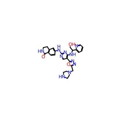 O=C1NCCc2cc(Nc3ncc(-c4nnc(CN5CCNCC5)o4)c(NC(CO)c4ccccn4)n3)ccc21